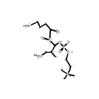 CCCCCCCCCCCCCC(CC)[S+]([O-])C(OP(=O)([O-])OCC[N+](C)(C)C)C(C)COC